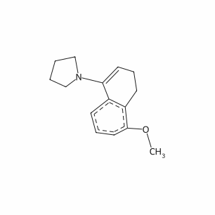 COc1cccc2c1CCC=C2N1CCCC1